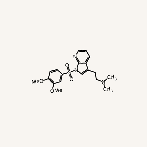 COc1ccc(S(=O)(=O)n2cc(CCN(C)C)c3cccnc32)cc1OC